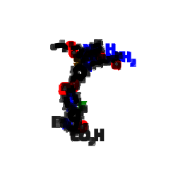 C=CCOC(=O)C[C@H](NC(=O)C1(C(=O)N[C@H](CCCNC(N)=O)CNc2ccc(COC(=O)N3CCN(c4cc5c(cc4F)c(=O)c(C(=O)O)cn5CC)CC3)cc2)CCC1)c1ccsc1